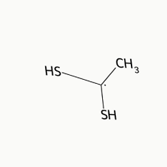 C[C](S)S